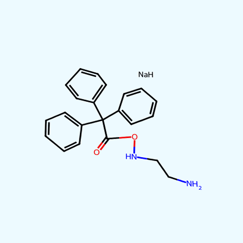 NCCNOC(=O)C(c1ccccc1)(c1ccccc1)c1ccccc1.[NaH]